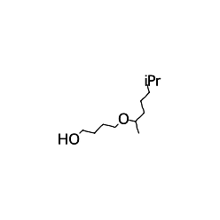 CC(C)CCCC(C)OCCCCO